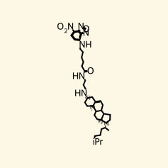 CC(C)CCCC(C)[C@H]1CCC2C3CC=C4C[C@@H](NCCCNC(=O)CCCCCNc5ccc([N+](=O)[O-])c6nonc56)CC[C@]4(C)C3CC[C@@]21C